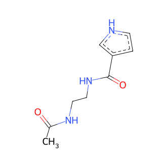 CC(=O)NCCNC(=O)c1cc[nH]c1